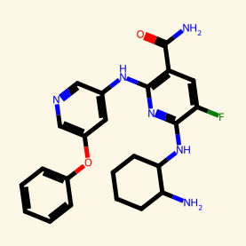 NC(=O)c1cc(F)c(NC2CCCCC2N)nc1Nc1cncc(Oc2ccccc2)c1